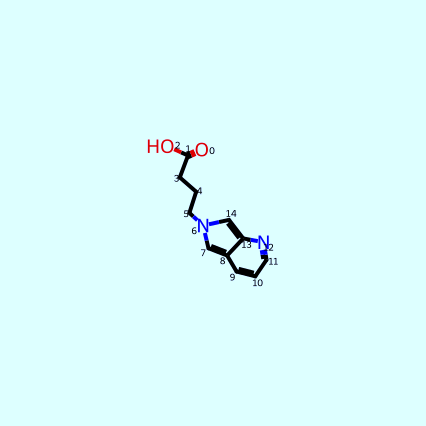 O=C(O)CCCn1cc2cccnc2c1